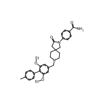 CCOc1cc(CN2CCC3(CC2)CC(=O)N(c2ccc(C(N)=O)cc2)C3)cc(OCC)c1-c1ccc(C)cc1